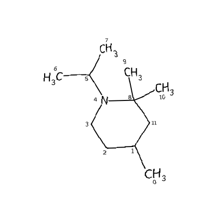 CC1CCN(C(C)C)C(C)(C)C1